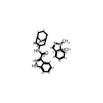 CN1C2CCCC1CC(NC(=O)c1n[nH]c3ccccc13)C2.Cl.Cn1ncc2ccccc21